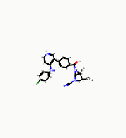 CC1CN(C#N)C2[C@@H]1N2C(=O)c1ccc(-c2cnccc2Nc2ccc(F)cc2)cc1